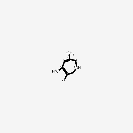 CC1=CC(C)=C(I)CNC1